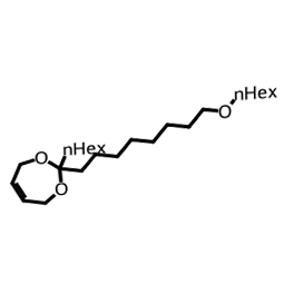 CCCCCCOCCCCCCCCC1(CCCCCC)OCC=CCO1